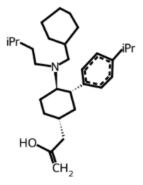 C=C(O)C[C@@H]1CC[C@@H](N(CCC(C)C)CC2CCCCC2)[C@H](c2ccc(C(C)C)cc2)C1